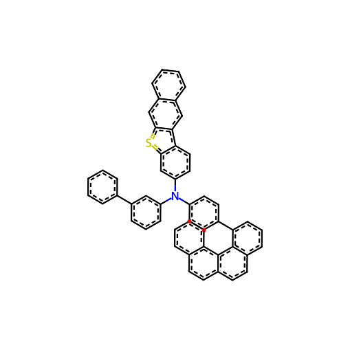 c1ccc(-c2cccc(N(c3ccc(-c4cccc5ccc6ccc7ccccc7c6c45)cc3)c3ccc4c(c3)sc3cc5ccccc5cc34)c2)cc1